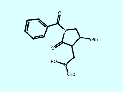 CCCCC1CN(C(=O)c2ccccc2)C(=O)C1CN(O)C=O